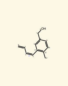 C=C/C=C\c1cc(CO)ccc1C